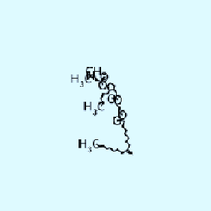 CC/C=C\CC1C(CC(=O)OCCCOC(=O)CCCCCCCC2CC2CCCCCCCC)CCC1OC(=O)CCN(C)C